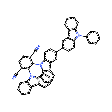 N#Cc1ccc(C#N)c(-n2c3ccccc3c3cc(-c4ccc5c(c4)c4ccccc4n5-c4ccccc4)ccc32)c1-n1c2ccccc2c2ccccc21